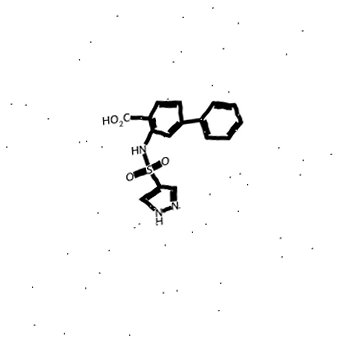 O=C(O)c1ccc(-c2ccccc2)cc1NS(=O)(=O)c1cn[nH]c1